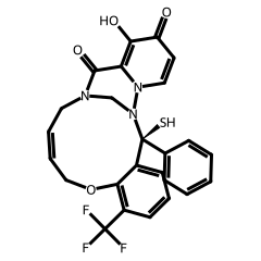 O=C1c2c(O)c(=O)ccn2N2CN1C/C=C\COc1c(C(F)(F)F)cccc1[C@@]2(S)c1ccccc1